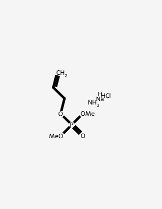 C=CCOP(=O)(OC)OC.Cl.N.[NaH]